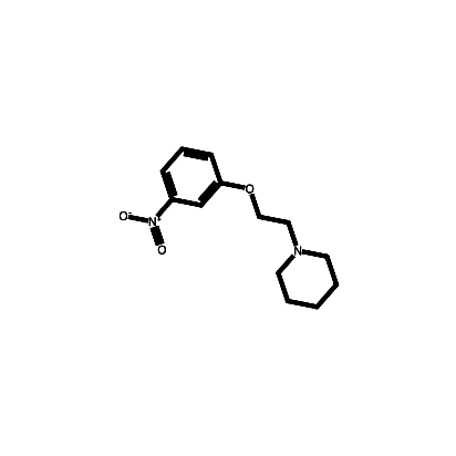 O=[N+]([O-])c1cccc(OCCN2CCCCC2)c1